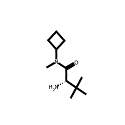 CN(C(=O)[C@@H](N)C(C)(C)C)C1CCC1